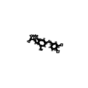 COC(=O)c1cc2c(Br)cc(Sc3ccc(Cl)c(Cl)c3)cc2[nH]1